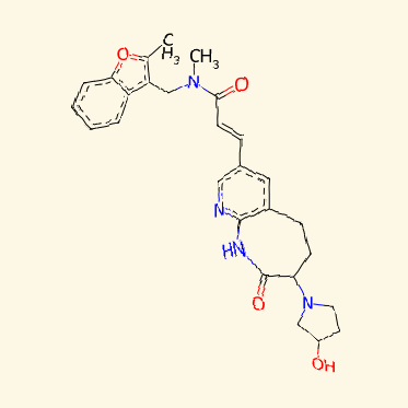 Cc1oc2ccccc2c1CN(C)C(=O)/C=C/c1cnc2c(c1)CCC(N1CCC(O)C1)C(=O)N2